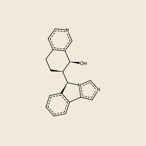 O[C@@H]1c2cnccc2CC[C@@H]1[C@@H]1c2ccccc2-c2cncn21